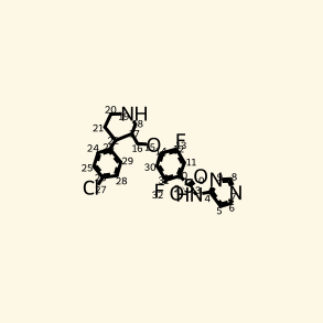 O=S(=O)(Nc1ccncn1)c1cc(F)c(OCC2CNCCC2c2ccc(Cl)cc2)cc1F